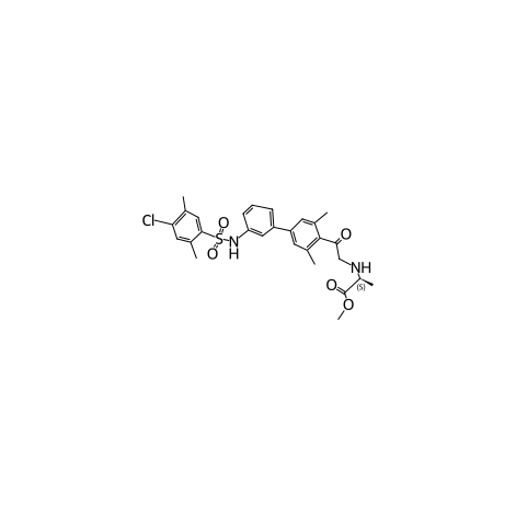 COC(=O)[C@H](C)NCC(=O)c1c(C)cc(-c2cccc(NS(=O)(=O)c3cc(C)c(Cl)cc3C)c2)cc1C